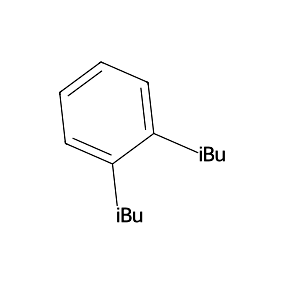 CCC(C)c1ccccc1C(C)CC